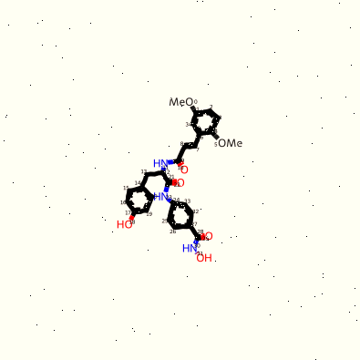 COc1ccc(OC)c(C=CC(=O)NC(Cc2ccc(O)cc2)C(=O)Nc2ccc(C(=O)NO)cc2)c1